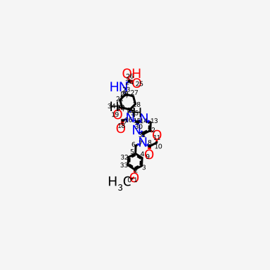 COc1ccc(CN2C(=O)COc3cnc(N4C(=O)O[C@@H]5C[C@@H](NC(=O)O)CC[C@@H]54)nc32)cc1